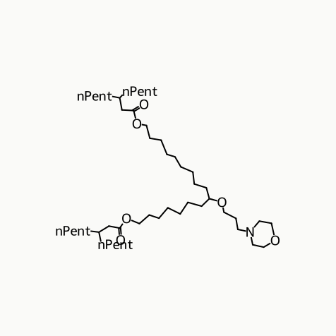 CCCCCC(CCCCC)CC(=O)OCCCCCCCCCC(CCCCCCCOC(=O)CC(CCCCC)CCCCC)OCCCN1CCOCC1